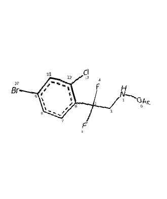 CC(=O)ONCC(F)(F)c1ccc(Br)cc1Cl